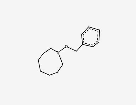 c1ccc(CON2CCCCCCC2)cc1